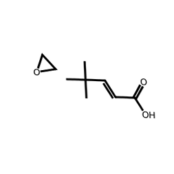 C1CO1.CC(C)(C)C=CC(=O)O